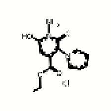 CCOC(=O)c1cc(O)n(N)c(=O)c1-[n+]1ccccc1.[Cl-]